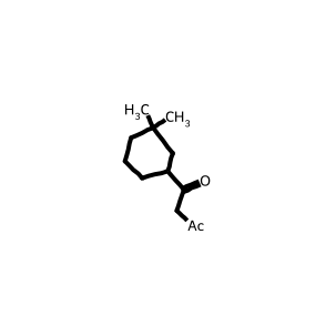 CC(=O)CC(=O)C1CCCC(C)(C)C1